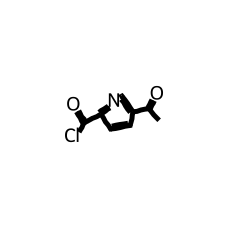 CC(=O)c1ccc(C(=O)Cl)nc1